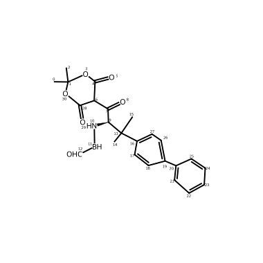 CC1(C)OC(=O)C(C(=O)[C@H](NBC=O)C(C)(C)c2ccc(-c3ccccc3)cc2)C(=O)O1